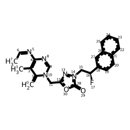 C=C1C(C)=C(/N=C\C)N=CN1Cc1nn(C[C@H](F)c2ccc3ccccc3c2)c(=O)o1